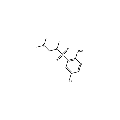 COc1ncc(C(C)C)cc1S(=O)(=O)N(C)CN(C)C